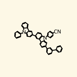 N#Cc1ccc(-n2c3ccc(-c4ccc5c(c4)c4ccccc4n5-c4ccccc4)cc3c3ccc(-c4cccc(-c5ccccc5)c4)cc32)cc1